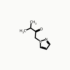 CC(C)C(=O)Cn1cccn1